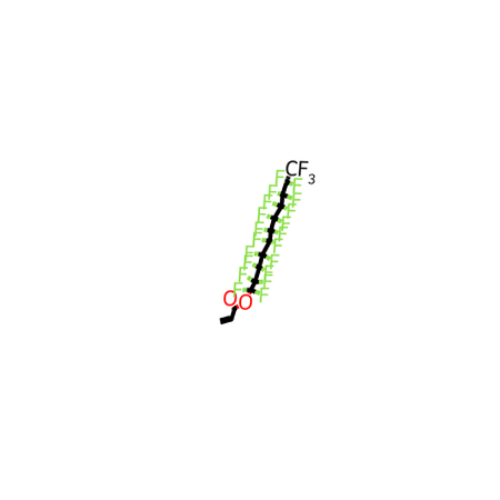 C=CC(=O)OC(F)(F)C(F)(F)C(F)(F)C(F)(F)C(F)(F)C(F)(F)C(F)(F)C(F)(F)C(F)(F)C(F)(F)C(F)(F)F